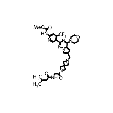 COC(=O)Nc1cc(C(F)(F)F)c(-c2nc(N3CCOCC3)c3cc(CN4CC5(C4)CN(C(=O)CNC(=O)C=C(C)C)C5)cn3n2)cn1